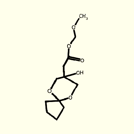 COCOC(=O)CC1(O)COC2(CCCC2)OC1